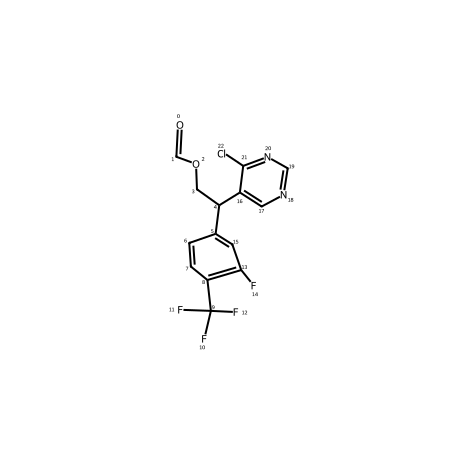 O=COCC(c1ccc(C(F)(F)F)c(F)c1)c1cncnc1Cl